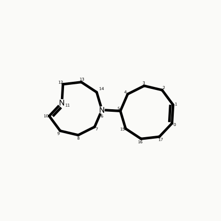 C1=C\CCCC(N2CCC/C=N/CCC2)CCC/1